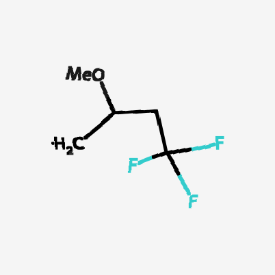 [CH2]C(CC(F)(F)F)OC